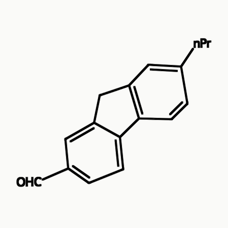 CCCc1ccc2c(c1)Cc1cc(C=O)ccc1-2